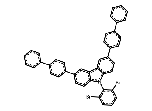 Brc1cccc(Br)c1-n1c2ccc(-c3ccc(-c4ccccc4)cc3)cc2c2cc(-c3ccc(-c4ccccc4)cc3)ccc21